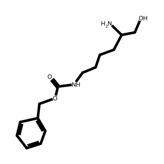 NC(CO)CCCCNC(=O)OCc1ccccc1